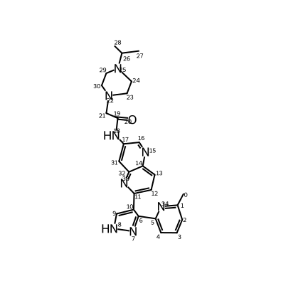 Cc1cccc(-c2n[nH]cc2-c2ccc3ncc(NC(=O)CN4CCN(C(C)C)CC4)cc3n2)n1